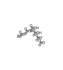 O=[N+]([O-])O.O=[N+]([O-])O.O=[N+]([O-])O.O=[N+]([O-])[O-].O=[N+]([O-])[O-].O=[N+]([O-])[O-].[Bi+3]